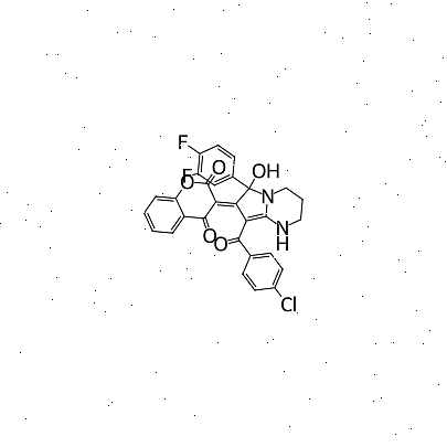 O=C1Oc2ccccc2C(=O)C1=C1C(C(=O)c2ccc(Cl)cc2)=C2NCCCN2C1(O)c1ccc(F)c(F)c1